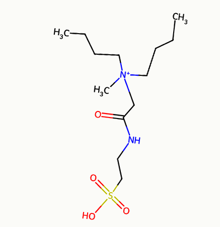 CCCC[N+](C)(CCCC)CC(=O)NCCS(=O)(=O)O